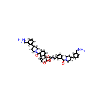 NCc1cccc(C2CCN(C(=O)c3cccc(/C=C/B4OC(=O)[C@](c5cccc(C(=O)N6CCC(c7cccc(CN)c7)CC6)c5)(C5CC5)O4)c3)CC2)c1